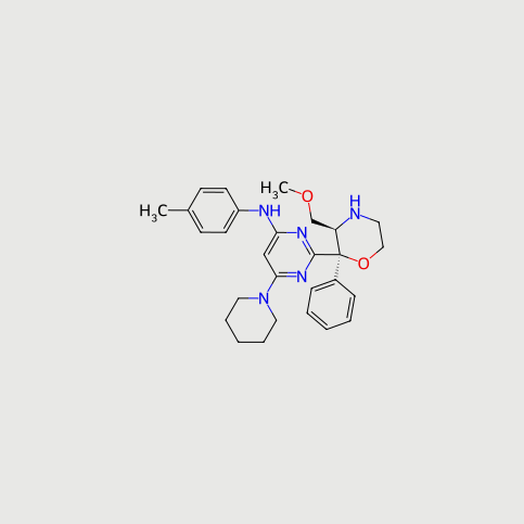 COC[C@H]1NCCO[C@@]1(c1ccccc1)c1nc(Nc2ccc(C)cc2)cc(N2CCCCC2)n1